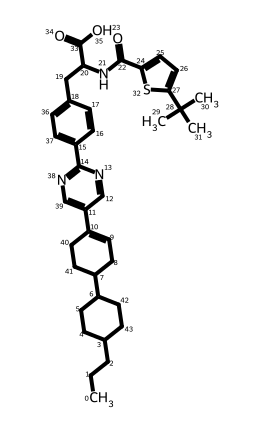 CCCC1CCC(C2CC=C(c3cnc(-c4ccc(CC(NC(=O)c5ccc(C(C)(C)C)s5)C(=O)O)cc4)nc3)CC2)CC1